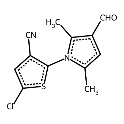 Cc1cc(C=O)c(C)n1-c1sc(Cl)cc1C#N